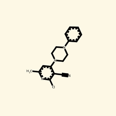 Cc1cc(N2CCN(c3ccccc3)CC2)c(C#N)c(Cl)n1